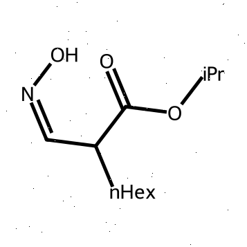 CCCCCCC(/C=N\O)C(=O)OC(C)C